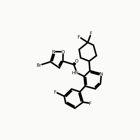 O=C(Nc1c(-c2cc(F)ccc2F)ccnc1C1CCC(F)(F)CC1)c1cc(Br)no1